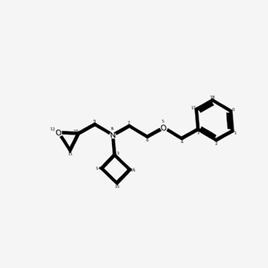 c1ccc(COCCN(CC2CO2)C2CCC2)cc1